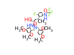 COc1ccc(CN(Cc2ccc(OC)cc2OC)C(=N)O/C(=C\C(C)c2cc(NC(=O)C(F)(F)F)ccc2F)CO)c(OC)c1